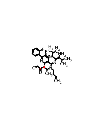 C=CCCN(/C(=N/C(C(=N)C(C)C)=C(/N)C(C)C)c1cc(F)c(-c2ccccc2F)nc1NC=O)C(C)CNC=O